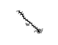 CCCCCCCCCCCCCCCCCCCCCCCC[N+](O)(O)O.[Br-]